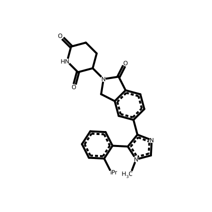 CC(C)c1ccccc1-c1c(-c2ccc3c(c2)CN(C2CCC(=O)NC2=O)C3=O)ncn1C